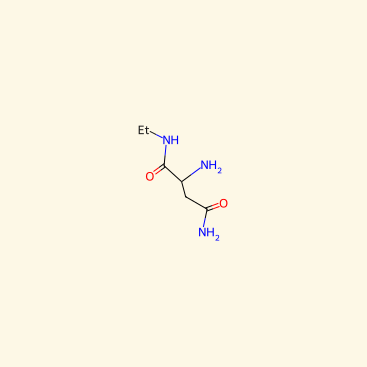 [CH2]CNC(=O)C(N)CC(N)=O